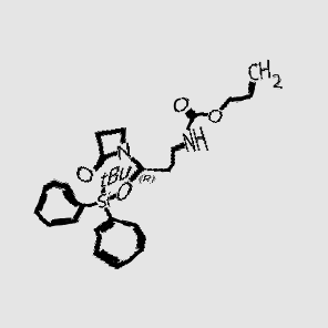 C=CCOC(=O)NCC[C@@H](O[Si](c1ccccc1)(c1ccccc1)C(C)(C)C)N1CCC1=O